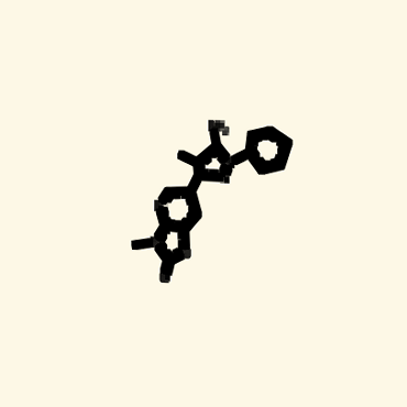 Cc1c(-c2cnc3c(c2)oc(=O)n3C)nn(-c2ccccc2)c1N